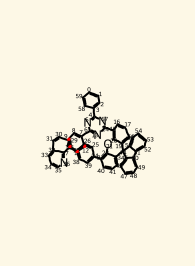 c1ccc(-c2nc(-c3ccccc3)nc(-c3cccc4c3Oc3c(-c5ccc(-c6cccc7cccnc67)cc5)cccc3C43c4ccccc4-c4ccccc43)n2)cc1